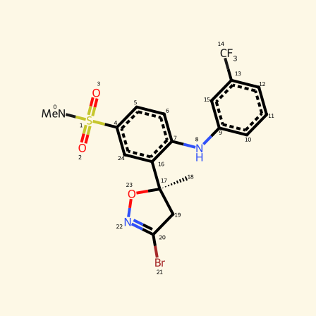 CNS(=O)(=O)c1ccc(Nc2cccc(C(F)(F)F)c2)c([C@@]2(C)CC(Br)=NO2)c1